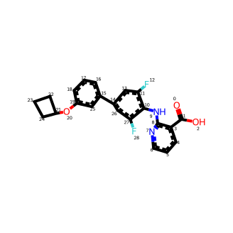 O=C(O)c1cccnc1Nc1c(F)cc(-c2cccc(OC3CCC3)c2)cc1F